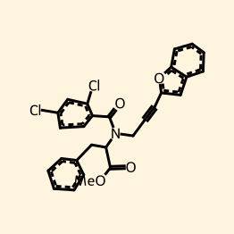 COC(=O)C(Cc1ccccc1)N(CC#Cc1cc2ccccc2o1)C(=O)c1ccc(Cl)cc1Cl